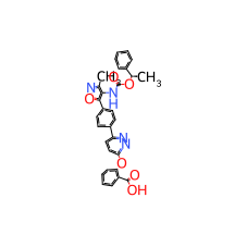 Cc1noc(-c2ccc(-c3ccc(Oc4ccccc4C(=O)O)nn3)cc2)c1NC(=O)O[C@H](C)c1ccccc1